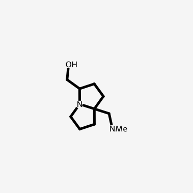 CNCC12CCCN1C(CO)CC2